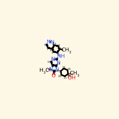 Cc1cc2nnccc2cc1Nc1ncc2c(n1)n([C@H]1CC[C@](C)(O)CC1)c(=O)n2C